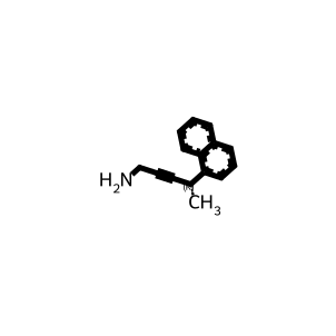 C[C@H](C#CCN)c1cccc2ccccc12